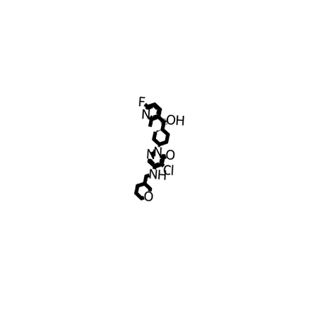 Cc1nc(F)ccc1[C@H](O)[C@H]1CC[C@H](n2ncc(NCC3CCCOC3)c(Cl)c2=O)CC1